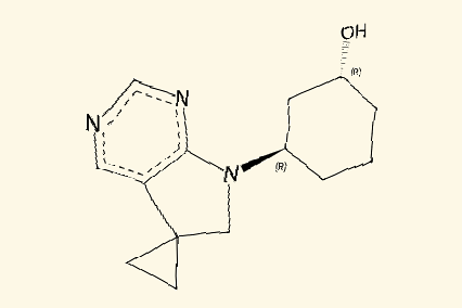 O[C@@H]1CCC[C@@H](N2CC3(CC3)c3cncnc32)C1